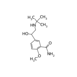 COc1ccc(C(O)CNC(C)(C)C)cc1C(N)=O